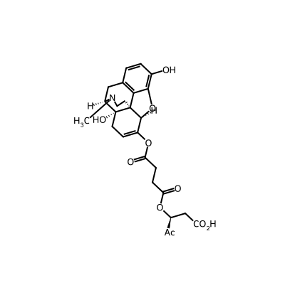 CC(=O)[C@H](CC(=O)O)OC(=O)CCC(=O)OC1=CC[C@@]2(O)[C@H]3Cc4ccc(O)c5c4[C@@]2(CCN3C)[C@H]1O5